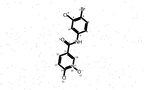 O=C(Nc1ccc(Br)c(Cl)c1)c1ccc(Cl)[n+]([O-])c1